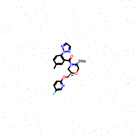 CS[C@@H]1CO[C@@H](COc2ccc(F)cn2)CN1C(=O)c1cc(C)ccc1-n1nccn1